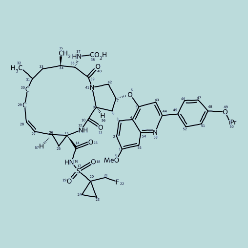 COc1ccc2c(O[C@@H]3C[C@H]4C(=O)N[C@]5(C(=O)NS(=O)(=O)C6(CF)CC6)C[C@H]5/C=C\CCC(C)C[C@@H](C)[C@H](NC(=O)O)C(=O)N4C3)cc(-c3ccc(OC(C)C)cc3)nc2c1